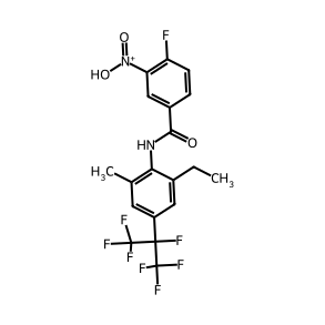 CCc1cc(C(F)(C(F)(F)F)C(F)(F)F)cc(C)c1NC(=O)c1ccc(F)c([N+](=O)O)c1